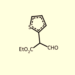 CCOC(=O)C(C=O)c1cccs1